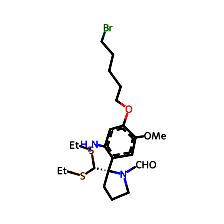 CCSC(SCC)[C@@]1(c2cc(OC)c(OCCCCCBr)cc2N)CCCN1C=O